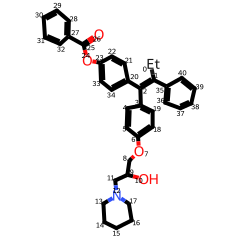 CCC(=C(c1ccc(OCC(O)CN2CCCCC2)cc1)c1ccc(OC(=O)c2ccccc2)cc1)c1ccccc1